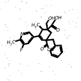 Cc1ncc(C2=CC(Cc3ccccc3)(C(=O)O)CC(CO)(C(=O)O)C2C)cc1F